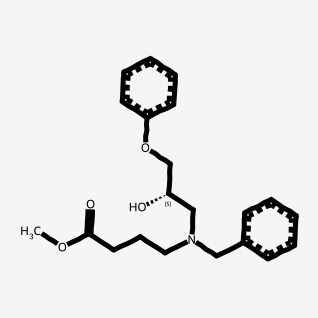 COC(=O)CCCN(Cc1ccccc1)C[C@H](O)COc1ccccc1